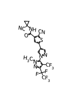 Cn1nc(C(F)(F)C(F)(F)F)c(C(F)(F)F)c1-n1cc(-c2cc(C(=O)NC3(C#N)CC3)c(C#N)s2)cn1